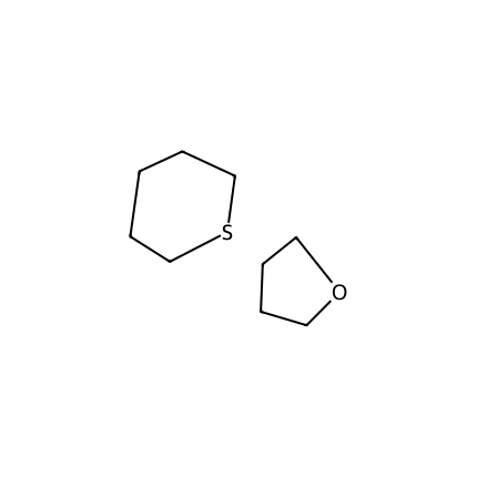 C1CCOC1.C1CCSCC1